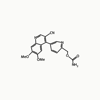 COc1cc2ncc(C#N)c(-c3ccc(COC(N)=O)nc3)c2cc1OC